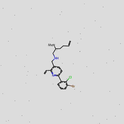 C=CCCC(CNCc1ccc(-c2cccc(Br)c2Cl)nc1C=C)NC